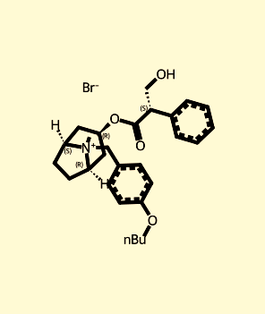 CCCCOc1ccc(C[N+]2(C)[C@@H]3CC[C@H]2C[C@@H](OC(=O)[C@H](CO)c2ccccc2)C3)cc1.[Br-]